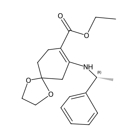 CCOC(=O)C1=C(N[C@H](C)c2ccccc2)CC2(CC1)OCCO2